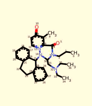 CCCN1C(=O)c2c(C)c(=O)ccn2N(C2c3ccccc3CCc3ccccc32)C1CN(CC)CC